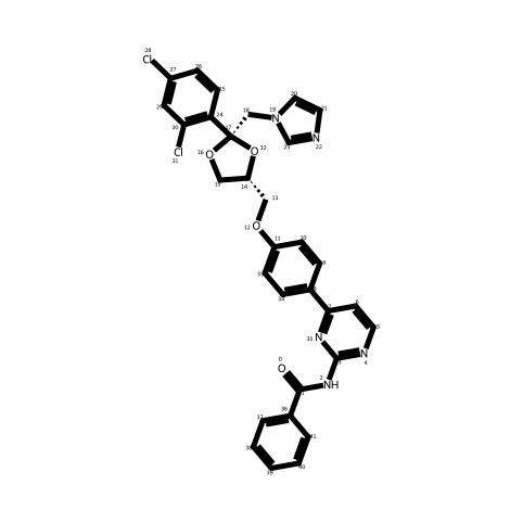 O=C(Nc1nccc(-c2ccc(OC[C@@H]3CO[C@@](Cn4ccnc4)(c4ccc(Cl)cc4Cl)O3)cc2)n1)c1ccccc1